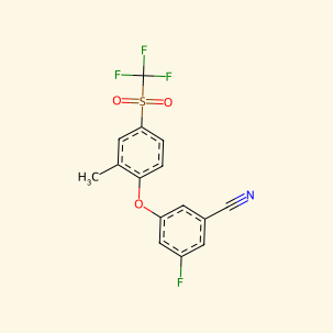 Cc1cc(S(=O)(=O)C(F)(F)F)ccc1Oc1cc(F)cc(C#N)c1